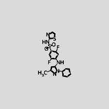 Cc1cc(Nc2cc(F)c(S(=O)(=O)Nc3nccs3)cc2F)n(-c2ccccc2)n1